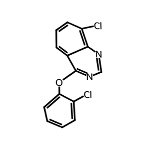 Clc1ccccc1Oc1ncnc2c(Cl)cccc12